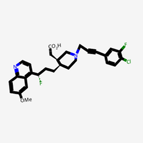 COc1ccc2nccc([C@@H](F)CC[C@@H]3CCN(CC#Cc4ccc(Cl)c(F)c4)C[C@@H]3CC(=O)O)c2c1